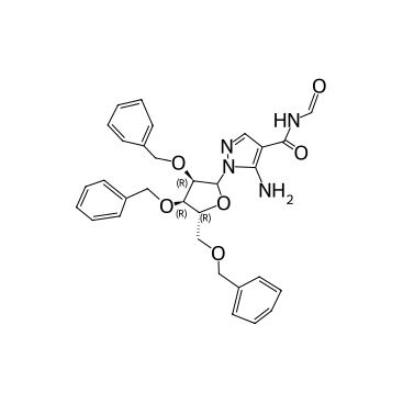 Nc1c(C(=O)NC=O)cnn1C1O[C@H](COCc2ccccc2)[C@@H](OCc2ccccc2)[C@H]1OCc1ccccc1